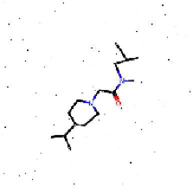 CC(C)CN(C)C(=O)CN1CCC(C(C)C)CC1